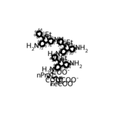 CCCC(C(=O)[O-])N(CCN(CC(=O)[O-])CC(=O)[O-])CC(=O)[O-].CC[n+]1c(-c2ccccc2)c2cc(N)ccc2c2ccc(N)cc21.CC[n+]1c(-c2ccccc2)c2cc(N)ccc2c2ccc(N)cc21.CC[n+]1c(-c2ccccc2)c2cc(N)ccc2c2ccc(N)cc21.[Fe+3]